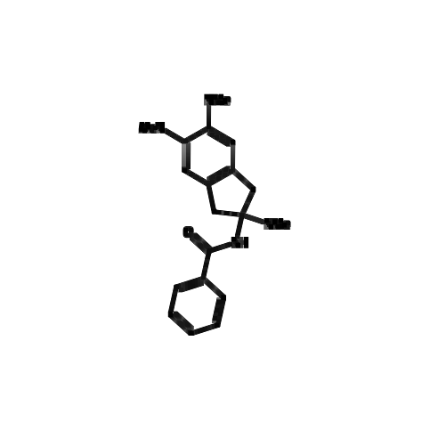 CNc1cc2c(cc1NC)CC(NC)(NC(=O)c1ccccc1)C2